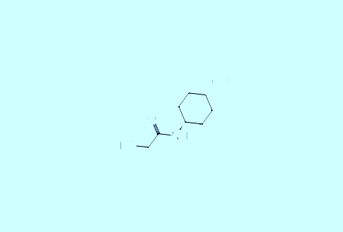 CCC(=O)N[C@H]1CC[C@H](O)CC1